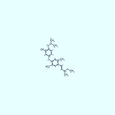 CCN(C)C=Nc1cc(C)c(Cc2ccc(CC(C)C)c(Cl)c2)cc1C